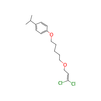 CC(C)c1ccc(OCCCCCOCC=C(Cl)Cl)cc1